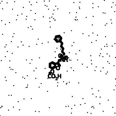 O=C(O)COc1cccc2c(CNS(=O)(=O)CCCCCc3ccccc3)coc12